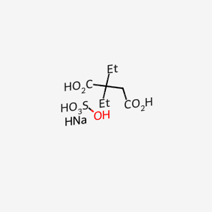 CCC(CC)(CC(=O)O)C(=O)O.O=S(=O)(O)O.[NaH]